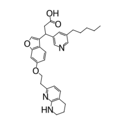 CCCCCc1cncc(C(CC(=O)O)c2coc3cc(OCCc4ccc5c(n4)NCCC5)ccc23)c1